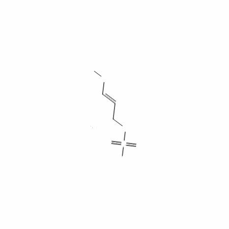 CCOC=CCOS(=O)(=O)[O-].[Na+]